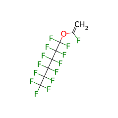 C=C(F)OC(F)(F)C(F)(F)C(F)(F)C(F)(F)C(F)(F)C(F)(F)F